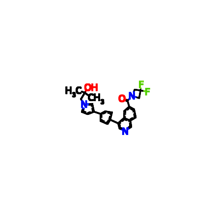 CC(C)(O)Cn1ccc(-c2ccc(-c3cncc4ccc(C(=O)N5CC(F)(F)C5)cc34)cc2)c1